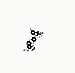 CC(C)COc1cc2nccc(Oc3ccc(N(C(=O)C4(C(N)=O)CC4)c4ccc(F)cc4)cc3F)c2c2c1OCCO2